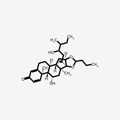 CCCC1O[C@@H]2C[C@H]3[C@@H]4CCC5=CC(=O)C=C[C@]5(C)[C@H]4[C@@H](O)C[C@]3(C)[C@]2(C(=O)CC(O)C(C)CC)O1